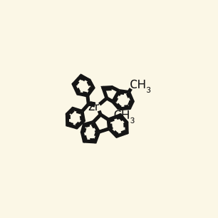 Cc1ccc(C)c2c1C=C[CH]2[Zr](=[C](c1ccccc1)c1ccccc1)[CH]1c2ccccc2-c2ccccc21